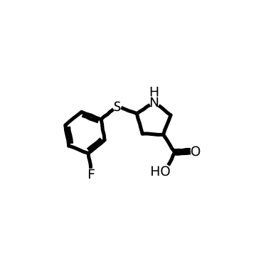 O=C(O)C1CNC(Sc2cccc(F)c2)C1